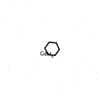 [CH]1CCCCC1.[GeH4]